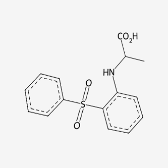 CC(Nc1ccccc1S(=O)(=O)c1ccccc1)C(=O)O